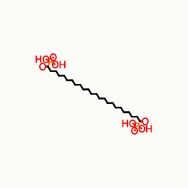 O=C(CCCCCCCCCCCCCCCCCCCCCCC(=O)P(=O)(O)O)P(=O)(O)O